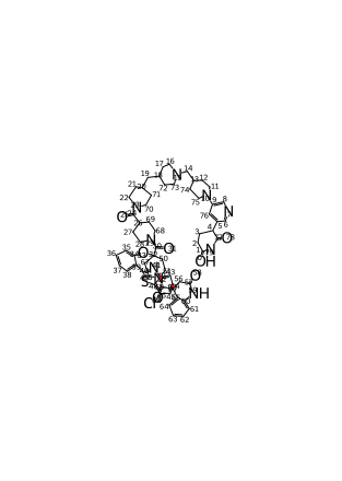 O=C1CCC(c2cncc(N3CCC(CN4CCC(CC5CCN(C(=O)C6CCN(C(=O)C7(Oc8ccccc8-c8nc9cccc(Cl)c9s8)CCN(C(=O)[C@H]8CC(=O)Nc9ccccc98)CC7)CC6)CC5)CC4)CC3)c2)C(=O)N1